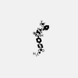 CCOC(=O)N1CCN([C@H]2CC[C@H](CNc3nc(NCc4ccccc4OC(F)(F)F)ncc3[N+](=O)[O-])CC2)CC1